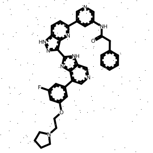 O=C(Cc1ccccc1)Nc1cncc(-c2ccc3[nH]nc(-c4nc5c(-c6cc(F)cc(OCCN7CCCC7)c6)cncc5[nH]4)c3n2)c1